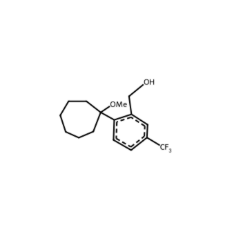 COC1(c2ccc(C(F)(F)F)cc2CO)CCCCCC1